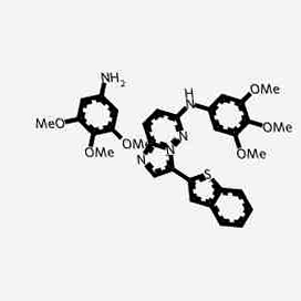 COc1cc(N)cc(OC)c1OC.COc1cc(Nc2ccc3ncc(-c4cc5ccccc5s4)n3n2)cc(OC)c1OC